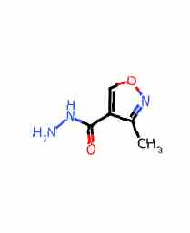 Cc1nocc1C(=O)NN